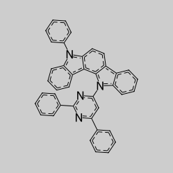 c1ccc(-c2cc(-n3c4ccccc4c4ccc5c(c6ccccc6n5-c5ccccc5)c43)nc(-c3ccccc3)n2)cc1